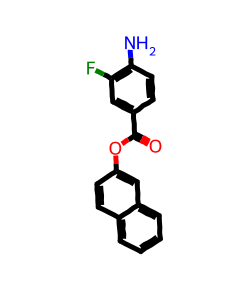 Nc1ccc(C(=O)Oc2ccc3ccccc3c2)cc1F